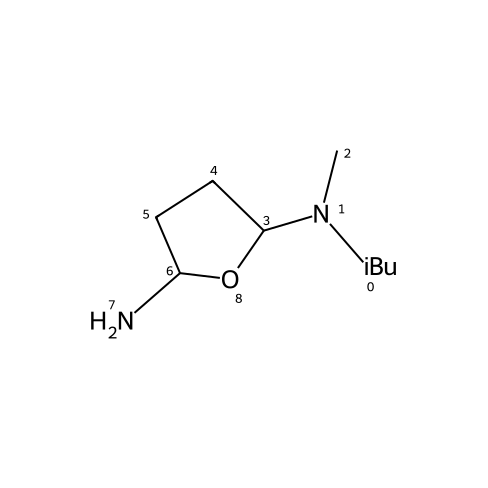 CCC(C)N(C)C1CCC(N)O1